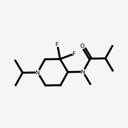 CC(C)C(=O)N(C)C1CCN(C(C)C)CC1(F)F